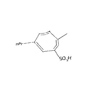 CCCc1ccc(C)c(S(=O)(=O)O)c1